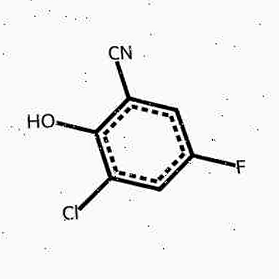 N#Cc1cc(F)cc(Cl)c1O